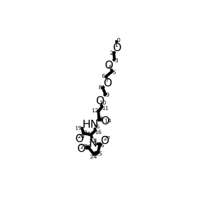 COCCOCCOCCOCCC(=O)NCC(C(C)=O)N1C(=O)C=CC1=O